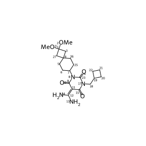 COC1(OC)CC2(CCC(N3C(=O)C(=C(N)N)C(=O)N(CC4CCC4)C3=O)CC2)C1